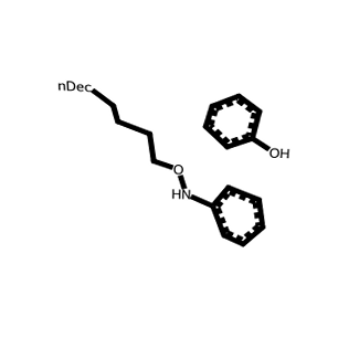 CCCCCCCCCCCCCCONc1ccccc1.Oc1ccccc1